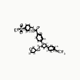 CCS(=O)(=O)c1ccc(CNC(=O)c2ccc(N3CC(c4ccc(C(F)(F)F)cc4)C[C@H]3CO[C@@H]3CCOC3)cc2)cc1